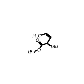 C/C=C\C(C(=O)OC(C)(C)C)C(C)(C)C